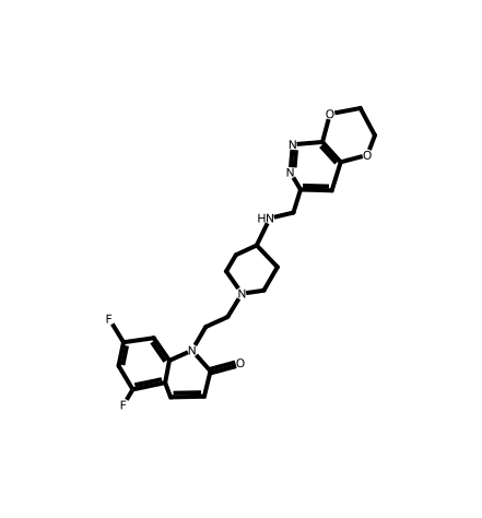 O=c1ccc2c(F)cc(F)cc2n1CCN1CCC(NCc2cc3c(nn2)OCCO3)CC1